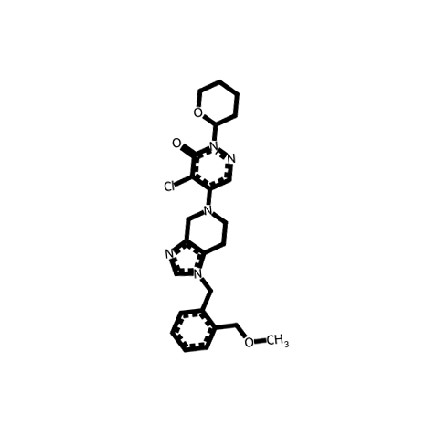 COCc1ccccc1Cn1cnc2c1CCN(c1cnn(C3CCCCO3)c(=O)c1Cl)C2